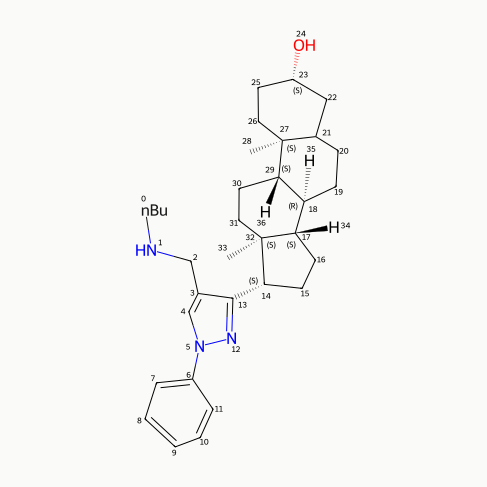 CCCCNCc1cn(-c2ccccc2)nc1[C@H]1CC[C@H]2[C@@H]3CCC4C[C@@H](O)CC[C@]4(C)[C@H]3CC[C@]12C